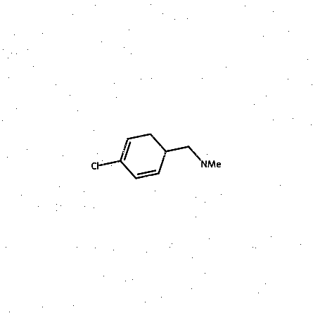 CNCC1C=CC(Cl)=CC1